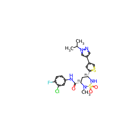 CC(C)n1cc(-c2csc([C@H]3C[C@@H](C(=O)Nc4ccc(F)c(Cl)c4)N(C)S(=O)(=O)N3)c2)cn1